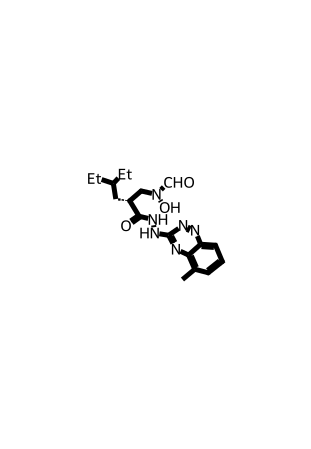 CCC(CC)C[C@H](CN(O)C=O)C(=O)NNc1nnc2cccc(C)c2n1